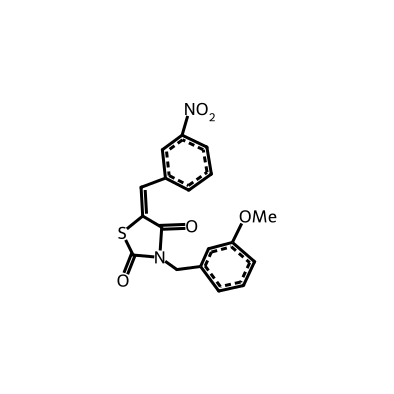 COc1cccc(CN2C(=O)SC(=Cc3cccc([N+](=O)[O-])c3)C2=O)c1